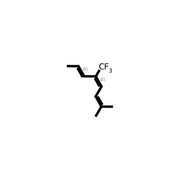 C/C=C/C(=C\C=C(C)C)C(F)(F)F